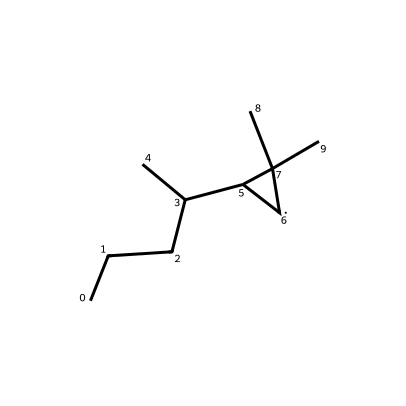 CCCC(C)C1[CH]C1(C)C